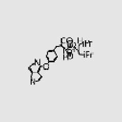 CC(C)CN(CC(C)C)S(=O)(=O)N[C@@H](Cc1ccc(Oc2nccc3cnccc23)cc1)C(=O)O